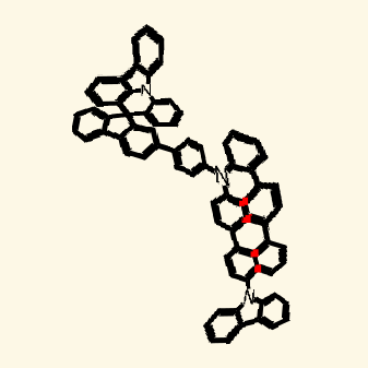 c1ccc(-c2ccc(-c3ccccc3N(c3ccc(-c4ccc(-n5c6ccccc6c6ccccc65)cc4)cc3)c3ccc(-c4ccc5c(c4)C4(c6ccccc6-5)c5ccccc5-n5c6ccccc6c6cccc4c65)cc3)cc2)cc1